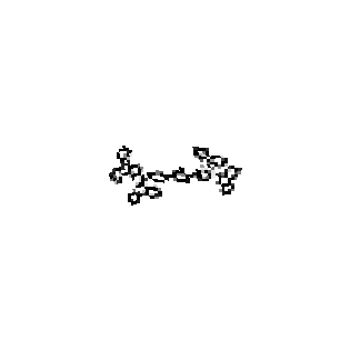 c1ccc(-n2c3ccccc3c3cc(N(c4ccc(-c5ccc(-c6ccc(N(c7cc8ccccc8c8ccccc78)c7cccc8c7oc7ccccc78)cc6)cc5)cc4)c4cc5ccccc5c5ccccc45)ccc32)cc1